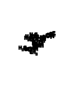 COc1ccc(N/C(=N/C(=O)Nc2ccc(-c3ncn(-c4ccc(OC(F)(F)F)cc4)n3)cc2)SCS[C@@H]2O[C@@H](C)[C@H](OC)[C@@H](OC)[C@H]2OC)c(C)c1